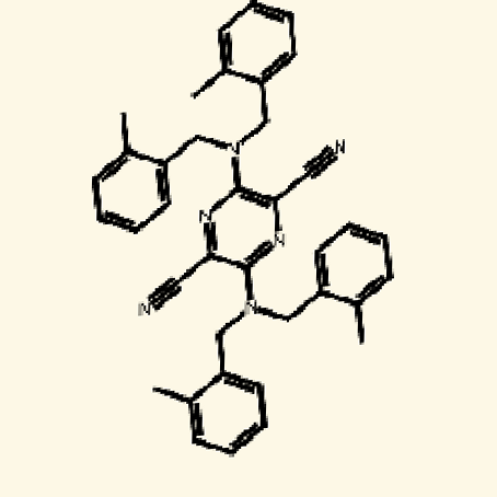 Cc1ccccc1CN(Cc1ccccc1C)c1nc(C#N)c(N(Cc2ccccc2C)Cc2ccccc2C)nc1C#N